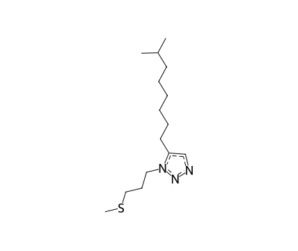 CSCCCn1nncc1CCCCCCC(C)C